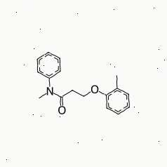 Cc1ccccc1OCCC(=O)N(C)c1ccccc1